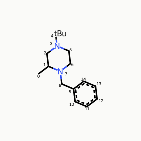 CC1CN(C(C)(C)C)CCN1Cc1ccccc1